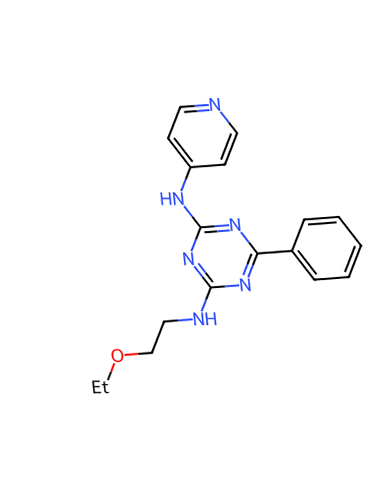 CCOCCNc1nc(Nc2ccncc2)nc(-c2ccccc2)n1